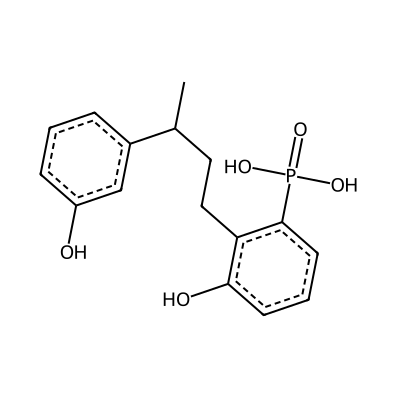 CC(CCc1c(O)cccc1P(=O)(O)O)c1cccc(O)c1